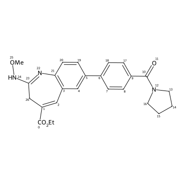 CCOC(=O)C1=Cc2cc(-c3ccc(C(=O)N4CCCC4)cc3)ccc2N=C(NOC)C1